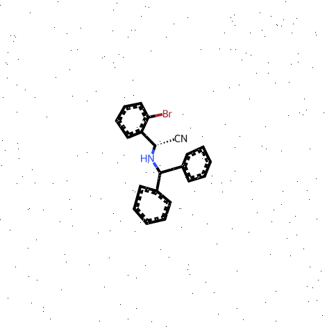 N#C[C@H](NC(c1ccccc1)c1ccccc1)c1ccccc1Br